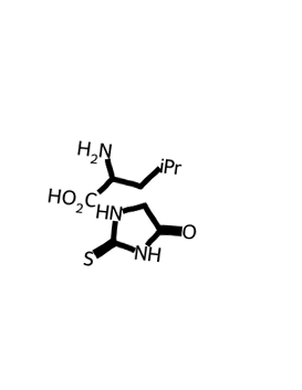 CC(C)CC(N)C(=O)O.O=C1CNC(=S)N1